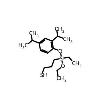 CCO[Si](CC)(CCCS)Oc1ccc(C(C)C)cc1C(C)C